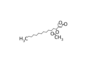 CCCCCCCCCCCCC(OC(C)=O)C1=CC(=O)OC1